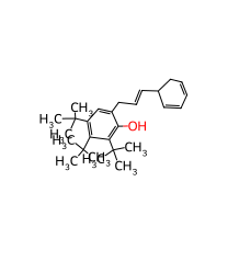 CC(C)(C)c1cc(CC=CC2C=CC=CC2)c(O)c(C(C)(C)C)c1C(C)(C)C